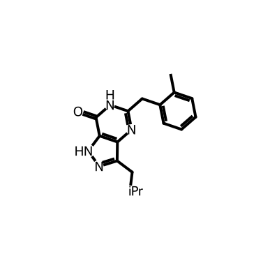 Cc1ccccc1Cc1nc2c(CC(C)C)n[nH]c2c(=O)[nH]1